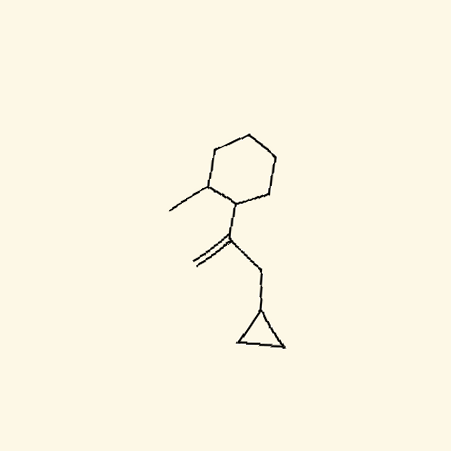 C=C(CC1CC1)C1CCCCC1C